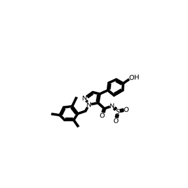 Cc1cc(C)c(Cn2ncc(-c3ccc(O)cc3)c2C(=O)N=S(=O)=O)c(C)c1